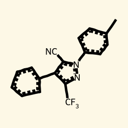 Cc1ccc(-n2nc(C(F)(F)F)c(-c3ccccc3)c2C#N)cc1